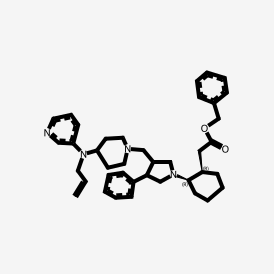 C=CCN(c1cccnc1)C1CCN(CC2CN([C@@H]3CCCC[C@@H]3CC(=O)OCc3ccccc3)CC2c2ccccc2)CC1